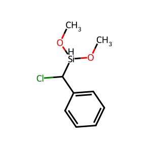 CO[SiH](OC)C(Cl)c1ccccc1